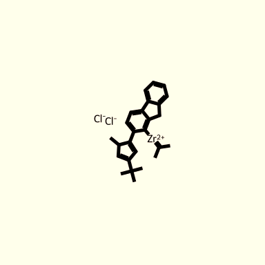 C[C](C)=[Zr+2][c]1c(C2=CC(C(C)(C)C)=CC2C)ccc2c1Cc1ccccc1-2.[Cl-].[Cl-]